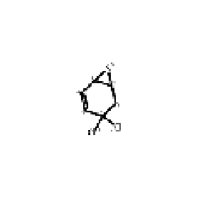 ClC1(Cl)C=CC2SC2C1